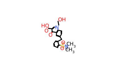 CN(C)S(=O)(=O)c1ccccc1Cc1ccc2c(c1)c(=O)c(C(=O)O)cn2CCO